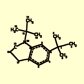 CC(C)(C)c1ccc2c(c1)N(C(C)(C)C)CCC2